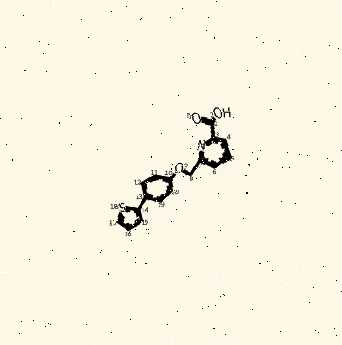 O=C(O)c1cccc(COc2ccc(-c3cccs3)cc2)n1